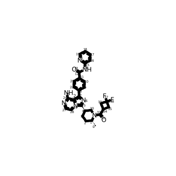 C[C@@H]1CC[C@H](c2nc(-c3ccc(C(=O)Nc4ccccn4)cc3)c3c(N)nccn23)CN1C(=O)C1CC(F)(F)C1